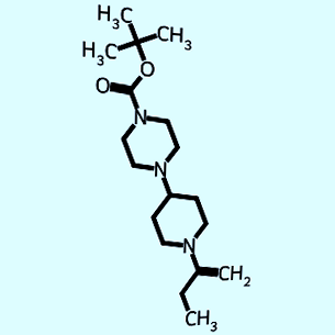 C=C(CC)N1CCC(N2CCN(C(=O)OC(C)(C)C)CC2)CC1